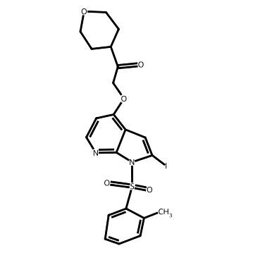 Cc1ccccc1S(=O)(=O)n1c(I)cc2c(OCC(=O)C3CCOCC3)ccnc21